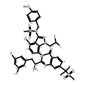 COc1ccc(CN(c2nn(CC(F)F)c3c(-n4c([C@@H](N)Cc5cc(F)cc(F)c5)nc5cc(C(C)(C)S(C)(=O)=O)ccc5c4=O)ccc(Cl)c23)S(C)(=O)=O)cc1